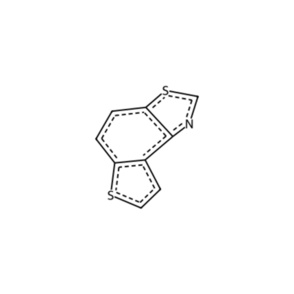 c1cc2c(ccc3scnc32)s1